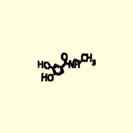 CCCNC(=O)c1ccc(O)c(O)c1